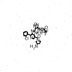 CCn1c(-c2nonc2N)nc2c(-c3ccccc3Cl)ncc(C(=O)N3CCC(N)C3)c21.O=C(O)C(F)(F)F